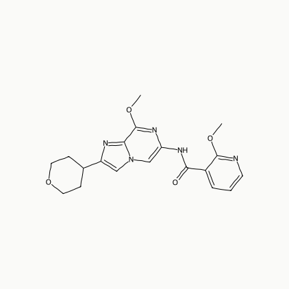 COc1ncccc1C(=O)Nc1cn2cc(C3CCOCC3)nc2c(OC)n1